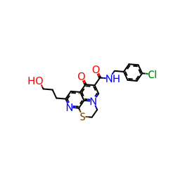 O=C(NCc1ccc(Cl)cc1)c1cn2c3c(nc(CCCO)cc3c1=O)SCC2